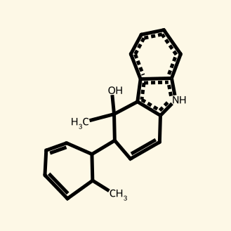 CC1C=CC=CC1C1C=Cc2[nH]c3ccccc3c2C1(C)O